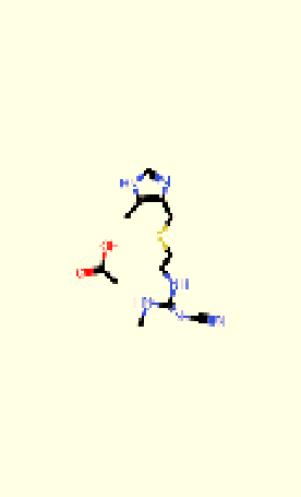 CC(=O)O.CN/C(=N/C#N)NCCSCc1nc[nH]c1C